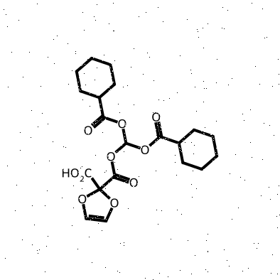 O=C(OC(OC(=O)C1CCCCC1)OC(=O)C1(C(=O)O)OC=CO1)C1CCCCC1